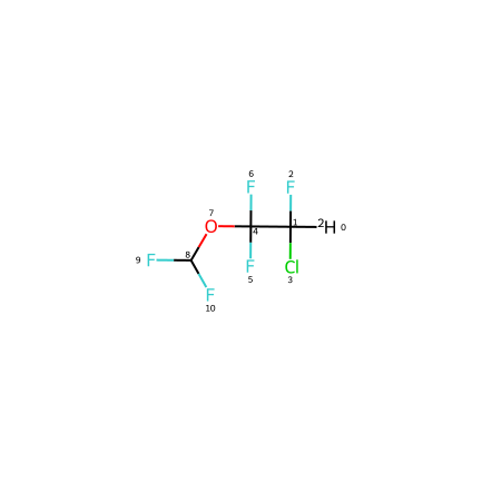 [2H]C(F)(Cl)C(F)(F)OC(F)F